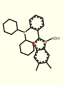 CCCCCCCCn1c(-c2ccccc2P(C2CCCCC2)C2CCCCC2)nc2cc(C)c(C)cc21